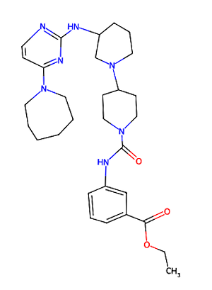 CCOC(=O)c1cccc(NC(=O)N2CCC(N3CCCC(Nc4nccc(N5CCCCCC5)n4)C3)CC2)c1